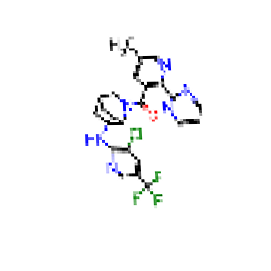 Cc1cnc(-c2ncccn2)c(C(=O)N2CC3CCC2C(Nc2ncc(C(F)(F)F)cc2Cl)C3)c1